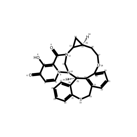 O=C1c2c(O)c(=O)ccn2N2CN1C1C[C@H]1CCOc1cccc3c1[C@H]2c1ccccc1SC3